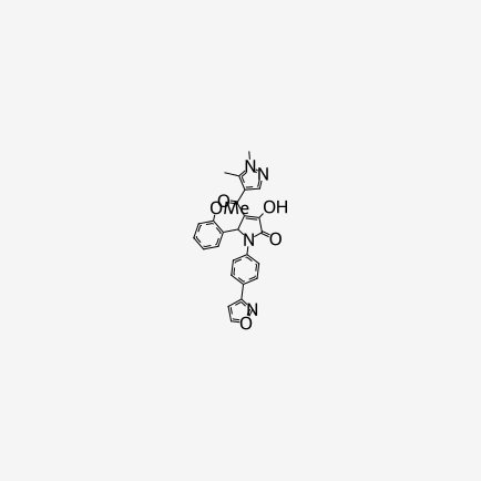 COc1ccccc1C1C(C(=O)c2cnn(C)c2C)=C(O)C(=O)N1c1ccc(-c2ccon2)cc1